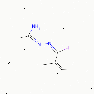 C\C=C(C)/C(I)=N\N=C(\C)N